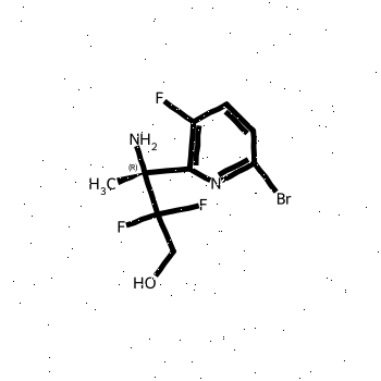 C[C@@](N)(c1nc(Br)ccc1F)C(F)(F)CO